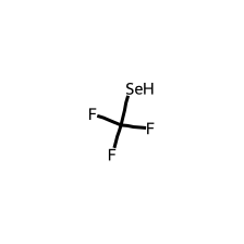 FC(F)(F)[SeH]